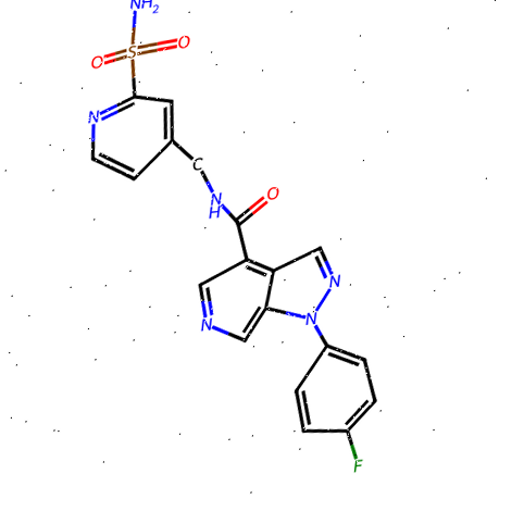 NS(=O)(=O)c1cc(CNC(=O)c2cncc3c2cnn3-c2ccc(F)cc2)ccn1